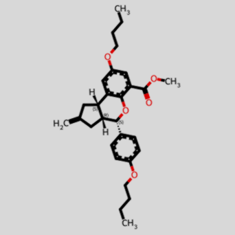 C=C1C[C@@H]2[C@H](C1)c1cc(OCCCC)cc(C(=O)OC)c1O[C@@H]2c1ccc(OCCCC)cc1